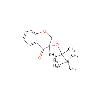 CC1(O[Si](C)(C)[Si](C)(C)C)COc2ccccc2C1=O